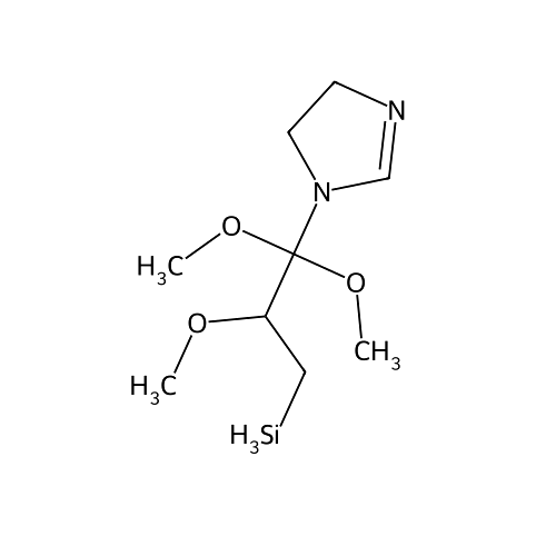 COC(C[SiH3])C(OC)(OC)N1C=NCC1